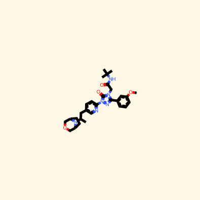 COc1cccc(-c2nn(-c3ccc(CC(C)N4C5CCC4COC5)cn3)c(=O)n2CC(=O)NC(C)(C)C)c1